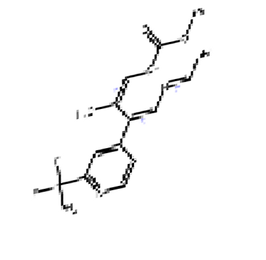 CCC/C=N/C=C(\C(C)=C/NC(=O)OC(C)(C)C)c1ccnc(C(F)(F)P)c1